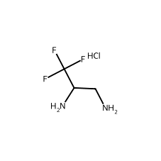 Cl.NCC(N)C(F)(F)F